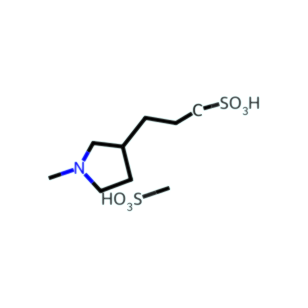 CN1CCC(CCCS(=O)(=O)O)C1.CS(=O)(=O)O